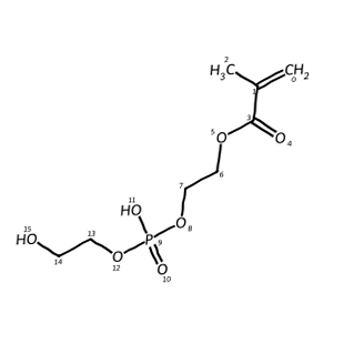 C=C(C)C(=O)OCCOP(=O)(O)OCCO